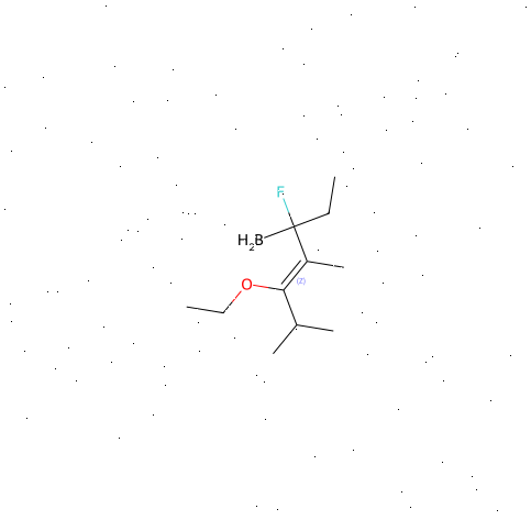 BC(F)(CC)/C(C)=C(\OCC)C(C)C